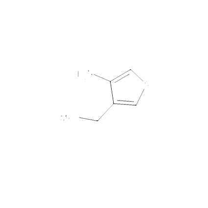 CSCc1cscc1N